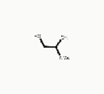 CNC(C)CO